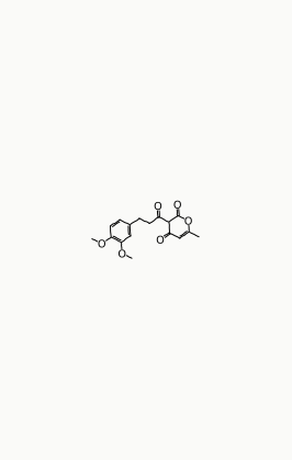 COc1ccc(CCC(=O)C2C(=O)C=C(C)OC2=O)cc1OC